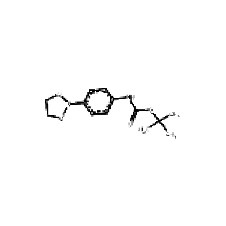 CC(C)(C)OC(=O)Nc1ccc(B2OCCO2)cc1